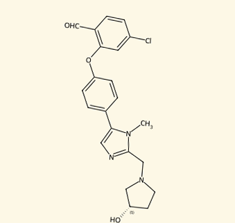 Cn1c(-c2ccc(Oc3cc(Cl)ccc3C=O)cc2)cnc1CN1CC[C@H](O)C1